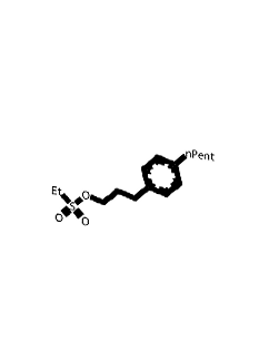 CCCCCc1ccc(CCCOS(=O)(=O)CC)cc1